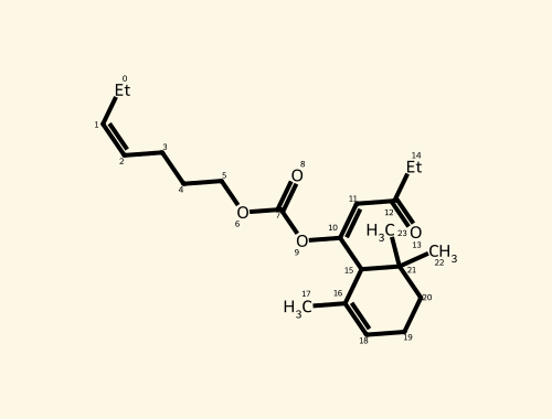 CC/C=C\CCCOC(=O)OC(=CC(=O)CC)C1C(C)=CCCC1(C)C